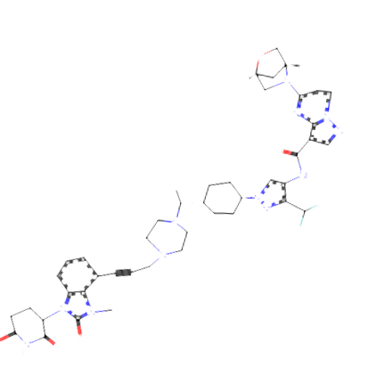 CC([C@H]1CC[C@H](n2cc(NC(=O)c3cnn4ccc(N5C[C@H]6C[C@@H]5CO6)nc34)c(C(F)F)n2)CC1)N1CCN(CC#Cc2cccc3c2n(C)c(=O)n3C2CCC(=O)NC2=O)CC1